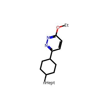 CCCCCCCC1CCC(c2ccc(OCC)nn2)CC1